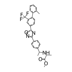 COC(=O)C(C)NC(C)c1ccc(-c2noc(-c3ccc(-c4ccccc4C)c(C(F)(F)F)c3)n2)cc1